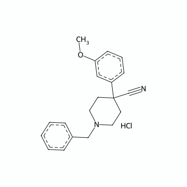 COc1cccc(C2(C#N)CCN(Cc3ccccc3)CC2)c1.Cl